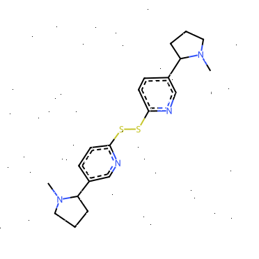 CN1CCCC1c1ccc(SSc2ccc(C3CCCN3C)cn2)nc1